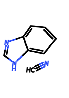 C#N.c1ccc2[nH]cnc2c1